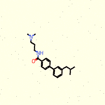 CC(C)Cc1cccc(-c2ccc(C(=O)NCCCN(C)C)cc2)c1